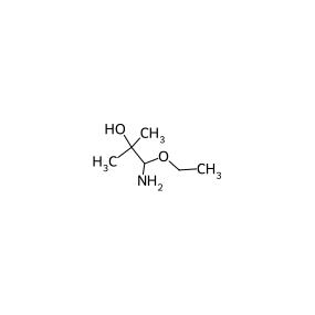 CCOC(N)C(C)(C)O